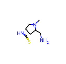 CN1CCCC1CN.N=C=S